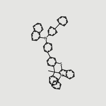 CC1(c2ccccc2)c2ccc(-c3ccc(N(c4ccc(-c5ccccc5)cc4)c4cccc5ccccc45)cc3)cc2Sc2c1n(-c1ccccc1)c1ccccc21